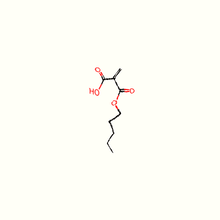 C=C(C(=O)O)C(=O)OCCCCC